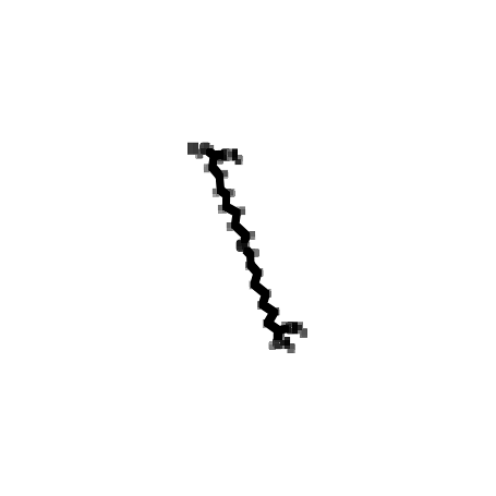 C=C(C)CCCCCCCCOCCCCCCCCC(=C)C